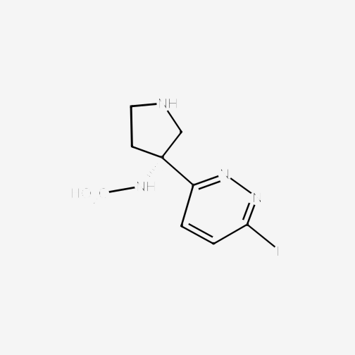 O=C(O)N[C@]1(c2ccc(F)nn2)CCNC1